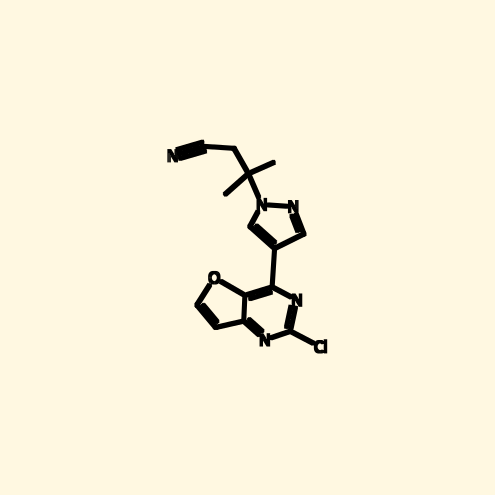 CC(C)(CC#N)n1cc(-c2nc(Cl)nc3ccoc23)cn1